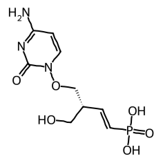 Nc1ccn(OC[C@H](/C=C/P(=O)(O)O)CO)c(=O)n1